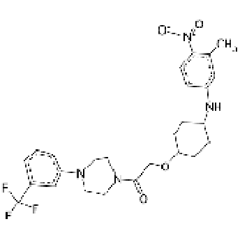 Cc1cc(NC2CCC(OCC(=O)N3CCN(c4cccc(C(F)(F)F)c4)CC3)CC2)ccc1[N+](=O)[O-]